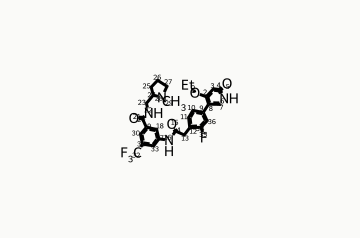 CCOc1cc(=O)[nH]cc1-c1ccc(CC(=O)Nc2cc(C(=O)NCC3CCCN3C)cc(C(F)(F)F)c2)c(F)c1